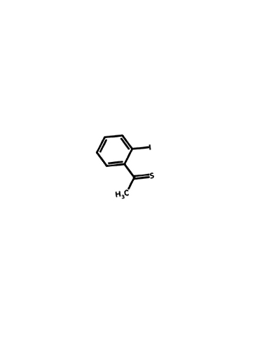 CC(=S)c1ccccc1I